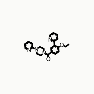 CCOc1ccc(C(=O)N2CCN(c3ccccn3)CC2)cc1-c1ccccn1